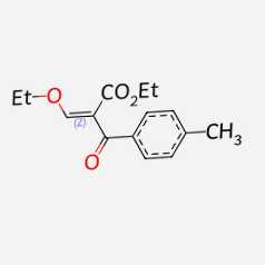 CCO/C=C(\C(=O)OCC)C(=O)c1ccc(C)cc1